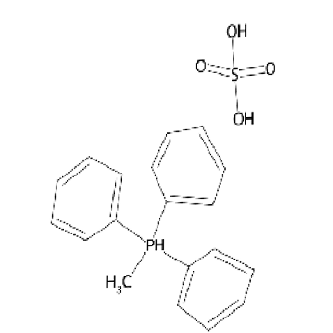 C[PH](c1ccccc1)(c1ccccc1)c1ccccc1.O=S(=O)(O)O